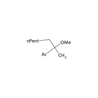 CCCCCCC(C)(OC)C(C)=O